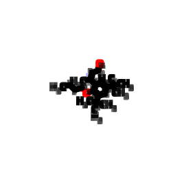 CCCCOc1c(/C(C)=C\C=O)cc(C(C)(C)C)cc1C(C)(C)C